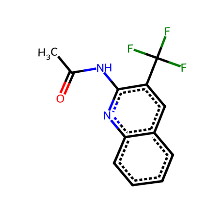 CC(=O)Nc1nc2ccccc2cc1C(F)(F)F